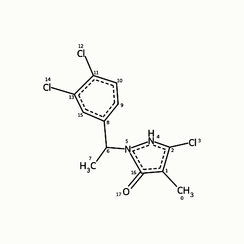 Cc1c(Cl)[nH]n(C(C)c2ccc(Cl)c(Cl)c2)c1=O